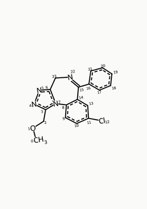 COCc1nnc2n1-c1ccc(Cl)cc1C(c1ccccc1)=NC2